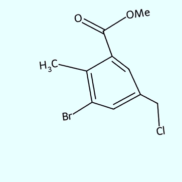 COC(=O)c1cc(CCl)cc(Br)c1C